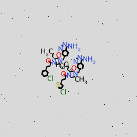 CCC[C@H]1C(=O)N(Cc2ccc3c(N)ncnc3c2)[C@H](C)CN1C(=O)C=Cc1cc(Cl)cs1.CCC[C@H]1C(=O)N(Cc2ccc3c(N)ncnc3c2)[C@H](C)CN1C(=O)C=Cc1cccc(Cl)c1